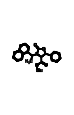 CC(c1cccc2ccccc12)N1C(=O)OC(c2ccccc2)C1C(=O)OC(C)(C)C